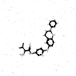 CC(C)C(N)C(=O)Nc1ccc(Oc2ccc3c(c2)CC[C@@H](c2ccccc2)O3)nc1